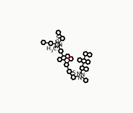 CN1C(c2ccc(-c3c4ccccc4c(-c4ccc(-c5ccc6c(c5)sc5c(-c7nc(-c8ccccc8)nc(-c8ccc(-c9c%10ccccc%10c(-c%10cccc%11ccccc%10%11)c%10ccccc9%10)c9ccccc89)n7)cccc56)cc4-c4ccccc4)c4ccccc34)cc2)=NC(c2cccc3c2sc2ccccc23)=NC1c1ccc(-c2ccccc2)cc1